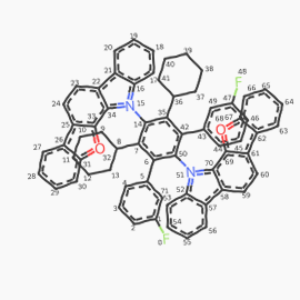 Fc1cccc(-c2c(C3CCCCC3)c(-n3c4ccccc4c4ccc5c6ccccc6oc5c43)c(C3CCCCC3)c(-c3cccc(F)c3)c2-n2c3ccccc3c3ccc4c5ccccc5oc4c32)c1